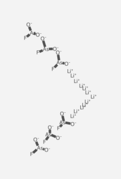 [Li+].[Li+].[Li+].[Li+].[Li+].[Li+].[Li+].[Li+].[Li+].[Li+].[Li+].[Li+].[O-][As]([O-])F.[O-][As]([O-])F.[O-][As]([O-])F.[O-][As]([O-])F.[O-][As]([O-])F.[O-][As]([O-])F